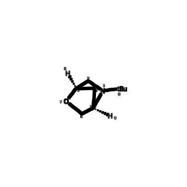 CC(C)(C)N1C[C@H]2C[C@@H]1CO2